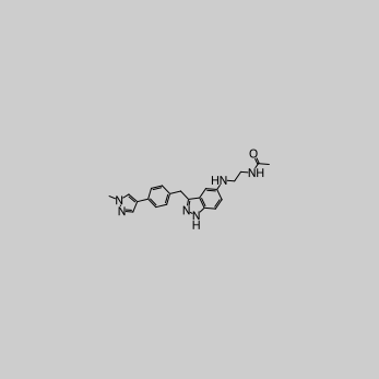 CC(=O)NCCNc1ccc2[nH]nc(Cc3ccc(-c4cnn(C)c4)cc3)c2c1